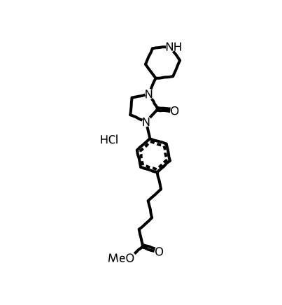 COC(=O)CCCCc1ccc(N2CCN(C3CCNCC3)C2=O)cc1.Cl